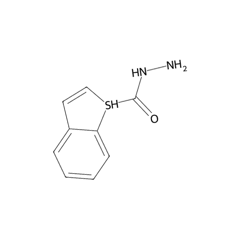 NNC(=O)[SH]1C=Cc2ccccc21